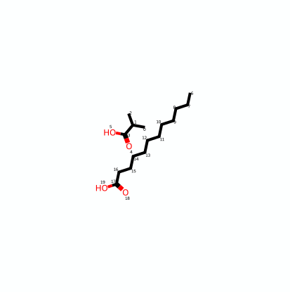 CC(C)C(=O)O.CCCCCCCCCCCC(=O)O